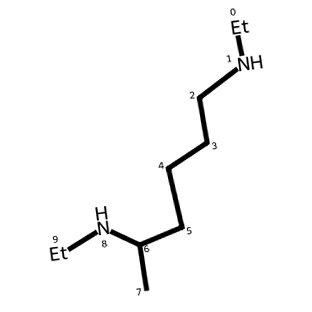 CCNCCCCC(C)NCC